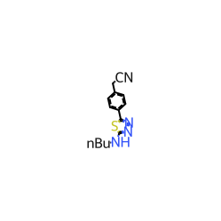 CCCCNc1nnc(-c2ccc(CC#N)cc2)s1